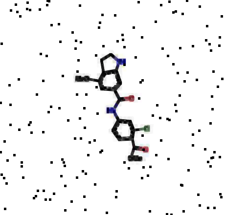 COC(=O)c1ccc(NC(=O)c2cc3c(c(OC)c2)CCN3)cc1Cl